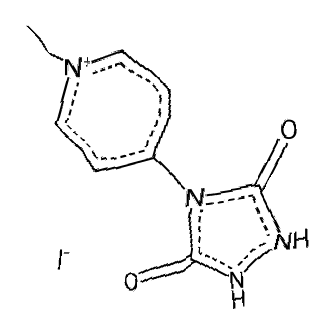 C[n+]1ccc(-n2c(=O)[nH][nH]c2=O)cc1.[I-]